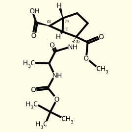 COC(=O)[C@]1(NC(=O)C(C)NC(=O)OC(C)(C)C)CC[C@H]2[C@H](C(=O)O)[C@H]21